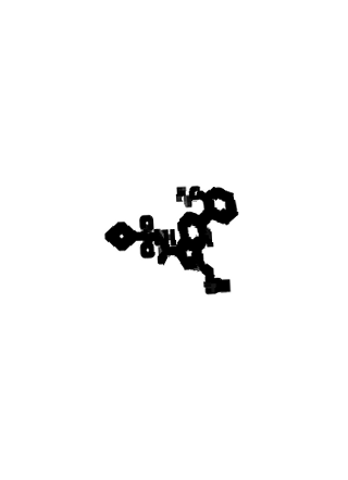 C[C@@H](NS(=O)(=O)C1CCC1)c1cn(CC(C)(C)C)c2nc(-c3ccccc3C(F)(F)F)ccc12